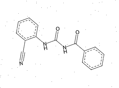 N#Cc1ccccc1NC(=O)NC(=O)c1ccccc1